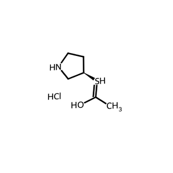 CC(O)=[SH][C@@H]1CCNC1.Cl